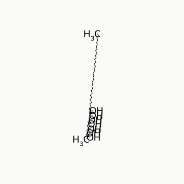 CCCCCCCCCCCCCCCCCCCCCCCCCCCCCCCCCCCC(O)CC(O)CC(O)CC(O)CC(O)CC(O)CC(C)O